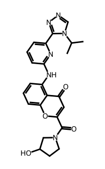 CC(C)n1cnnc1-c1cccc(Nc2cccc3oc(C(=O)N4CCC(O)C4)cc(=O)c23)n1